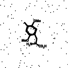 COc1cc(C[C@H](N)C(=O)O)c(OC)cc1C